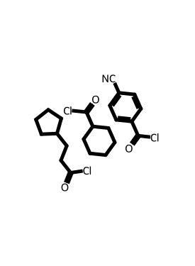 N#Cc1ccc(C(=O)Cl)cc1.O=C(Cl)C1CCCCC1.O=C(Cl)CCC1CCCC1